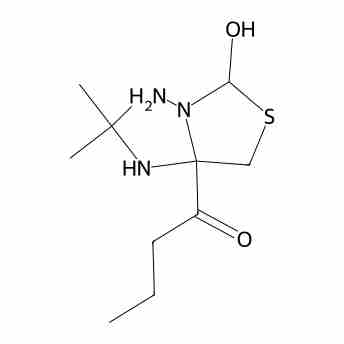 CCCC(=O)C1(NC(C)(C)C)CSC(O)N1N